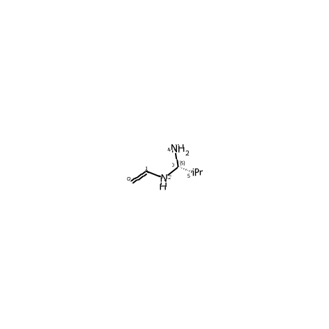 C=CN[C@H](N)C(C)C